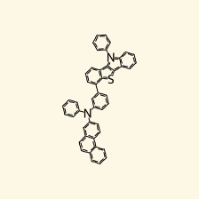 c1ccc(N(c2cccc(-c3cccc4c3sc3c5ccccc5n(-c5ccccc5)c43)c2)c2ccc3c(ccc4ccccc43)c2)cc1